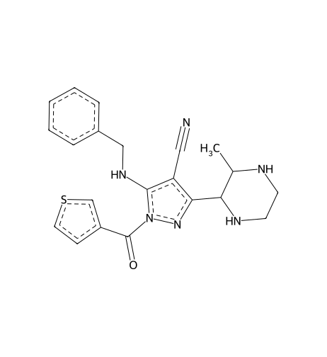 CC1NCCNC1c1nn(C(=O)c2ccsc2)c(NCc2ccccc2)c1C#N